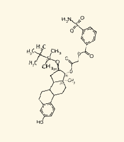 CC(C)(C)[Si](C)(C)O[C@@H]1CC2C3CCc4cc(O)ccc4C3CC[C@]2(C)[C@H]1OC(=O)COC(=O)c1cccc(S(N)(=O)=O)c1